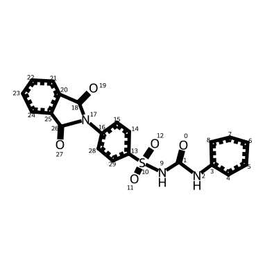 O=C(Nc1ccccc1)NS(=O)(=O)c1ccc(N2C(=O)c3ccccc3C2=O)cc1